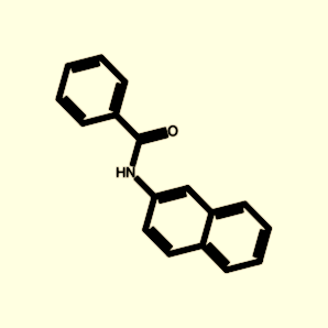 O=C(Nc1ccc2ccccc2c1)c1ccccc1